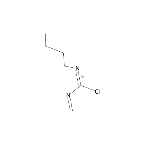 C=N/C(Cl)=N\CCCC